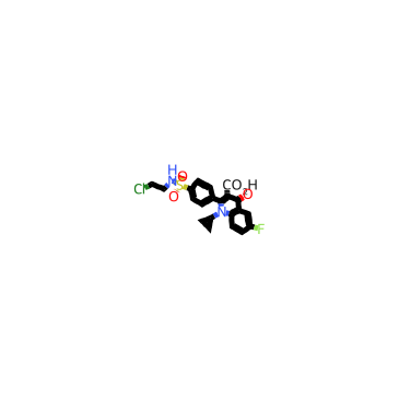 O=C(O)c1c(-c2ccc(S(=O)(=O)NCCCl)cc2)n(C2CC2)c2ccc(F)cc2c1=O